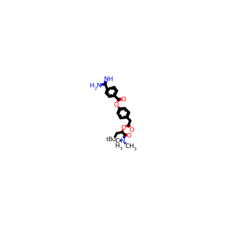 CN(C)C(=O)C(CC(C)(C)C)OC(=O)Cc1ccc(OC(=O)c2ccc(C(=N)N)cc2)cc1